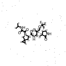 CC(C)NC(=O)C(=O)N1CC2(CC2)C[C@H]1C(=O)N[C@@H](CC1CCNC1=O)C(=O)COC(F)(F)F